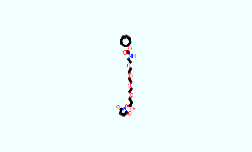 O=C(CCOCCOCCOCCOCCNC(=O)OC1CC/C=C\CCC1)ON1C(=O)CCC1=O